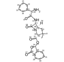 CC1(C)S[C@@H]2C(NC(=O)C(N)c3ccccc3)C(=O)N2[C@H]1C(=O)OC1OC(=O)c2ccccc21